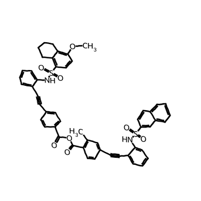 COc1ccc(S(=O)(=O)Nc2ccccc2C#Cc2ccc(C(=O)OC(=O)c3ccc(C#Cc4ccccc4NS(=O)(=O)c4ccc5ccccc5c4)cc3C)cc2)c2c1CCCC2